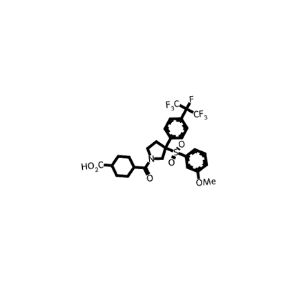 COc1cccc(S(=O)(=O)C2(c3ccc(C(F)(C(F)(F)F)C(F)(F)F)cc3)CCN(C(=O)C3CCC(C(=O)O)CC3)C2)c1